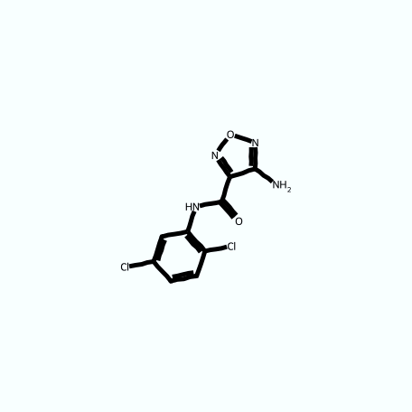 Nc1nonc1C(=O)Nc1cc(Cl)ccc1Cl